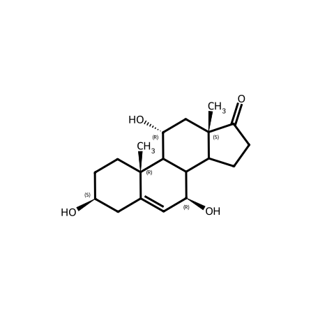 C[C@]12CC[C@H](O)CC1=C[C@H](O)C1C2[C@H](O)C[C@]2(C)C(=O)CCC12